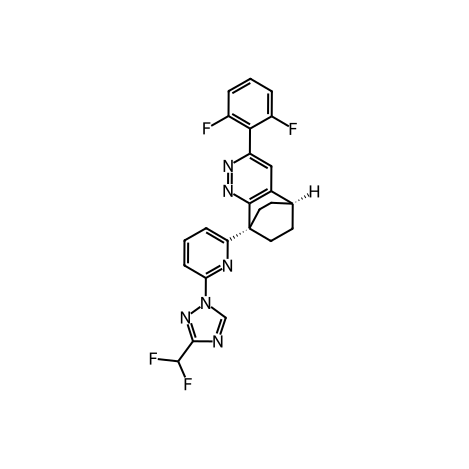 Fc1cccc(F)c1-c1cc2c(nn1)[C@]1(c3cccc(-n4cnc(C(F)F)n4)n3)CC[C@H]2CC1